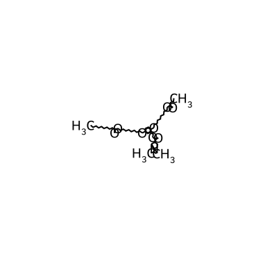 CCCCCCCCCC(=O)OCCCCCCCCOc1ccc(OCCCCCCCCOC(=O)CCC)c(COC(=O)C2CCN(C(C)C)CC2)c1